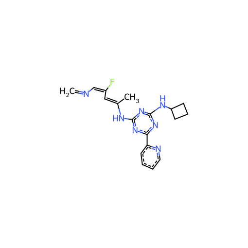 C=N/C=C(F)\C=C(/C)Nc1nc(NC2CCC2)nc(-c2ccccn2)n1